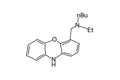 CCCCN(CC)Cc1cccc2c1Oc1ccccc1N2